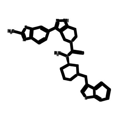 Cc1nc2ccc(-c3n[nH]c4c3CN(C(=O)N(N)[C@@H]3CCCN(Cc5csc6ccccc56)C3)CC4)cc2s1